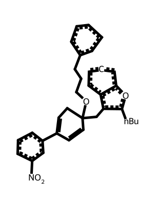 CCCCc1oc2ccccc2c1CC1(OCCCc2ccccc2)C=CC(c2cccc([N+](=O)[O-])c2)=CC1